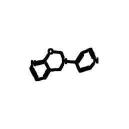 c1cnc2c(c1)CN(c1ccncc1)CO2